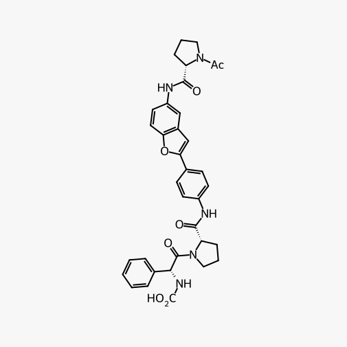 CC(=O)N1CCC[C@H]1C(=O)Nc1ccc2oc(-c3ccc(NC(=O)[C@@H]4CCCN4C(=O)[C@H](NC(=O)O)c4ccccc4)cc3)cc2c1